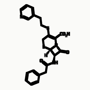 O=C(Cc1ccccc1)N[C@@H]1C(=O)N2C(C(=O)O)=C(SCCc3cccnc3)CS[C@H]12